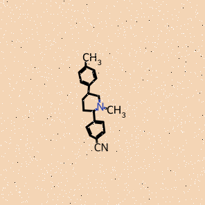 Cc1ccc(C2CCC(c3ccc(C#N)cc3)N(C)C2)cc1